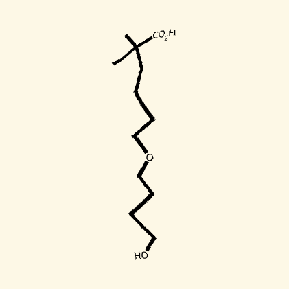 CC(C)(CCCCOCCCCO)C(=O)O